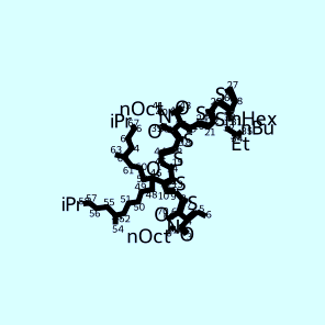 CCCCCCCCN1C(=O)c2c(C)sc(-c3cc4c(s3)C3SC(c5sc(-c6cc7c(s6)-c6sccc6[Si]7(CCCCCC)CC(CC)CCCC)c6c5C(=O)N(CCCCCCCC)C6=O)=CC3OC4(CCCCCC(C)CCCC(C)C)CCCC(C)CCCC(C)C)c2C1=O